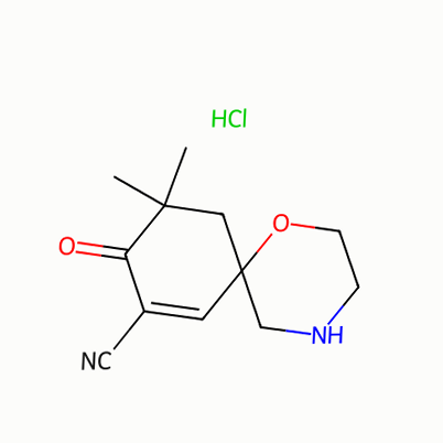 CC1(C)CC2(C=C(C#N)C1=O)CNCCO2.Cl